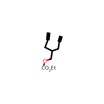 C#CCC(CC#C)COC(=O)OC[CH2]